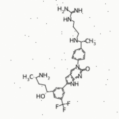 C[C@H](N)CC[C@@H](O)c1cc(-c2cc3cn(-c4ccc([C@H](C)NCCCNC(=N)N)cc4)c(=O)nc3[nH]2)cc(C(F)(F)F)c1